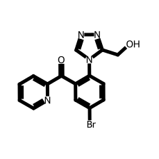 O=C(c1ccccn1)c1cc(Br)ccc1-n1cnnc1CO